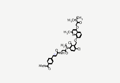 CNC(=O)c1ccc(/C=C/C(=O)NCC(=O)N(C)c2ccc(Cl)c(COc3cccc4c(OCC(=O)N(C)C)cc(C)nc34)c2Cl)cc1